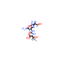 C[C@@H](O)[C@H](NC(=O)N[C@@H](CC(N)=O)c1nc([C@@H](N)CO)no1)C(=O)O